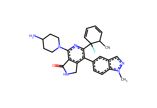 Cn1ncc2cc(-c3c(C4(F)C=CC=CC4C#N)nc(N4CCC(N)CC4)c4c3CNC4=O)ccc21